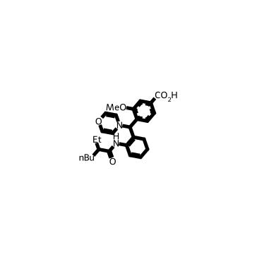 CCCCC(CC)C(=O)NC1=C(C(c2ccc(C(=O)O)cc2OC)N2C=COC=C2)CCC=C1